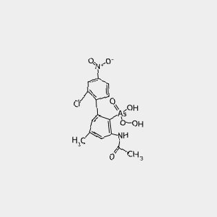 CC(=O)Nc1cc(C)cc(-c2ccc([N+](=O)[O-])cc2Cl)c1[As](=O)(O)OO